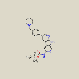 CC(C)(C)OC(=O)Nc1cc2c(cn1)[nH]c1ncc(-c3ccc(CN4CCCCC4)cc3)cc12